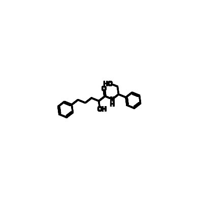 O=C(NC(CO)c1ccccc1)C(O)CCCc1ccccc1